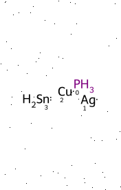 P.[Ag].[Cu].[SnH2]